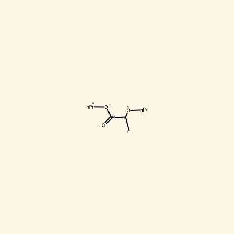 CCCOC(=O)C(C)OCCC